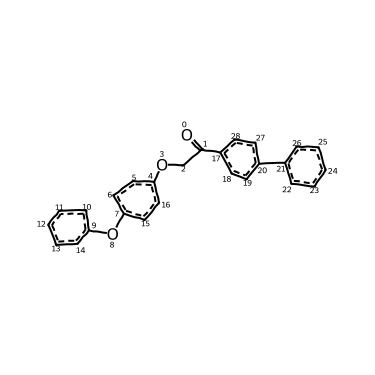 O=C(COc1ccc(Oc2ccccc2)cc1)c1ccc(-c2ccccc2)cc1